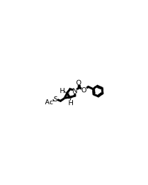 CC(=O)SCC1[C@H]2CN(C(=O)OCc3ccccc3)C[C@@H]12